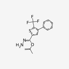 C=C(C)O/C(=N\N)c1cc(-c2ccccc2)c(C(F)(F)F)s1